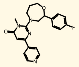 Cn1c(N2CCCOC(c3ccc(F)cc3)C2)nc(-c2ccncc2)cc1=O